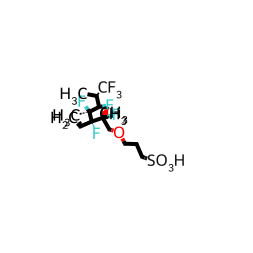 C=C[C@](F)(C(C)(F)COCCCS(=O)(=O)O)[C@@](C)(F)[C@](C)(F)[C@H](C)C(F)(F)F